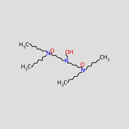 CCCCCCCCN(CCCCCCCC)C(=O)CCCCCN(CCO)CCCCCC(=O)N(CCCCCCCC)CCCCCCCC